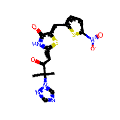 CC(C)(C(=O)/C=c1\[nH]c(=O)/c(=C/c2ccc([N+](=O)[O-])s2)s1)n1cncn1